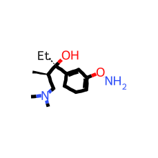 CC[C@](O)(C1=CC(ON)=CCC1)[C@H](C)CN(C)C